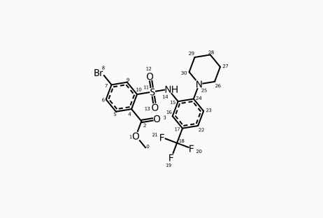 COC(=O)c1ccc(Br)cc1S(=O)(=O)Nc1cc(C(F)(F)F)ccc1N1CCCCC1